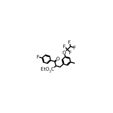 CCOC(=O)C(Cc1cc(C)cc(OC(F)(F)C(F)F)c1)C(=O)c1ccc(F)cc1